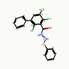 O=C(NNSc1ccccc1)c1c(F)c(Cl)cc(-c2ccccc2)c1F